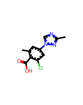 Cc1ncn(-c2cc(C)c(C(=O)O)c(Cl)c2)n1